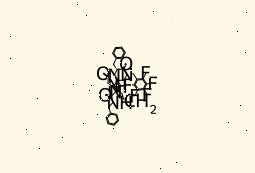 C=CCN(C(=O)NCc1ccccc1)N1CC(=O)N2[C@@H](Cc3ccccc3)C(=O)N(Cc3c(F)c(F)c(F)c(F)c3F)C[C@@H]21